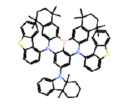 CC1(C)CCC(C)(C)c2cc3c(cc21)B1c2cc4c(cc2N(c2cccc5sc6ccccc6c25)c2cc(N5c6ccccc6C6(C)CCCCC56C)cc(c21)N3c1cccc2sc3ccccc3c12)C(C)(C)CCC4(C)C